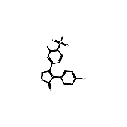 CS(=O)(=O)c1ccc(C2=C(c3ccc(C#N)cc3)C(=O)OC2)cc1F